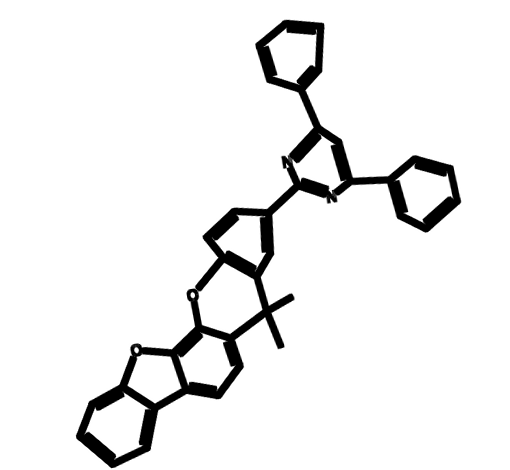 CC1(C)c2cc(-c3nc(-c4ccccc4)cc(-c4ccccc4)n3)ccc2Oc2c1ccc1c2oc2ccccc21